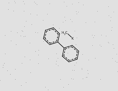 [CH3][K].c1ccc(-c2ccccc2)cc1